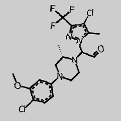 COc1cc(N2CCN(C(C=O)n3nc(C(F)(F)F)c(Cl)c3C)[C@@H](C)C2)ccc1Cl